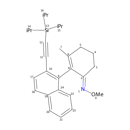 CO/N=C1\CCCC(C)=C1c1c(C#C[Si](C(C)C)(C(C)C)C(C)C)ccc2ccccc12